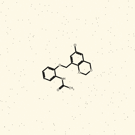 CC(=O)Nc1ccccc1OCc1cc(Cl)cc2c1OCOC2